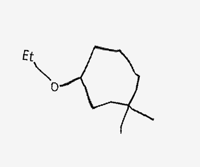 CCOC1CCCC(C)(C)C1